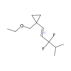 CCOCC1(/C=C/C(F)(F)C(C)C)CC1